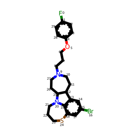 Fc1ccc(OCCCN2CCC3c4cc(Br)cc5c4N(CCCS5)C3CC2)cc1